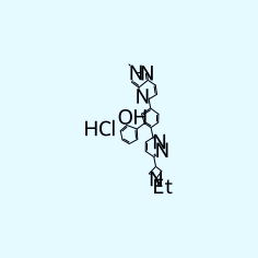 CCN1CC(c2ccc(-c3ccc(-c4ccc5nn(C)cc5n4)cc3-c3ccccc3O)nn2)C1.Cl